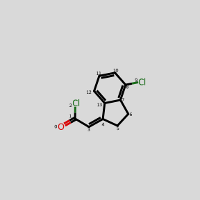 O=C(Cl)/C=C1/CCc2c(Cl)cccc21